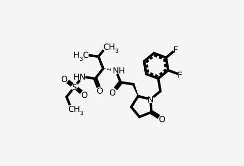 CCS(=O)(=O)NC(=O)[C@@H](NC(=O)C[C@@H]1CCC(=O)N1Cc1cccc(F)c1F)C(C)C